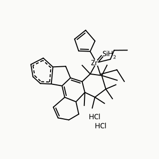 CC[CH2][Zr](=[SiH2])([CH2]CC)([C]1=CC=CC1)[C]1(C)C2=C3Cc4ccccc4C3=C3C=CCCC3C2(C)C(C)(C)C(C)(C)C1(C)C.Cl.Cl